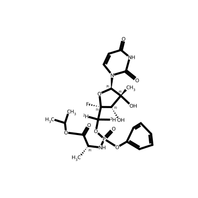 [2H]C([2H])(OP(=O)(N[C@H](C)C(=O)OC(C)C)Oc1ccccc1)[C@@]1(F)O[C@@H](n2ccc(=O)[nH]c2=O)[C@](C)(O)[C@@H]1O